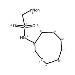 CCCCCCCCCCS(=O)(=O)NC1C[CH]CCCCCC1